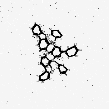 c1ccc(N2c3cc(C4CCCCC4)cc4c3B(c3ccc5c(oc6ccccc65)c32)c2ccc3c(oc5ccccc53)c2N4c2ccccc2)cc1